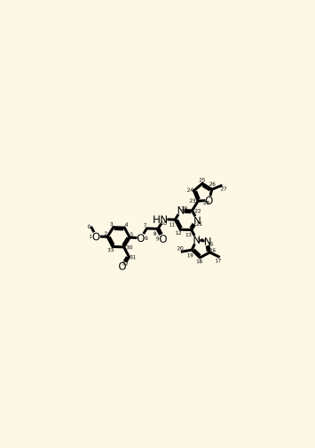 COc1ccc(OCC(=O)Nc2cc(-n3nc(C)cc3C)nc(-c3ccc(C)o3)n2)c(C=O)c1